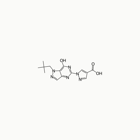 CC(C)(C)Cn1ncc2nc(-n3cc(C(=O)O)cn3)nc(O)c21